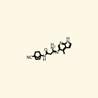 Cc1c(/N=C(\N)CC(=O)NC23CCC(C#N)(CC2)C3)cnc2[nH]ccc12